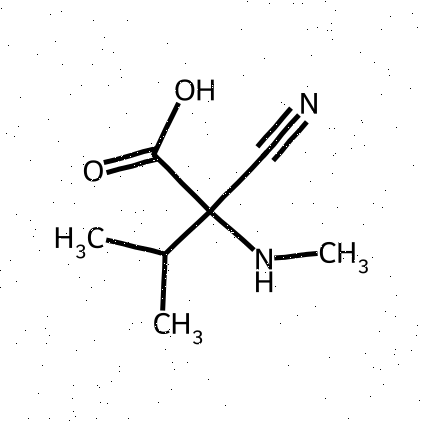 CNC(C#N)(C(=O)O)C(C)C